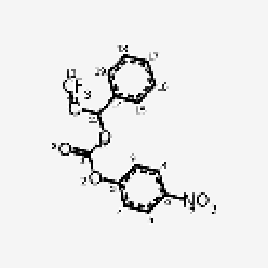 O=C(Oc1ccc([N+](=O)[O-])cc1)OC(OC(F)(F)F)c1ccccc1